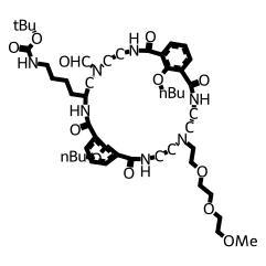 CCCCOc1c2cccc1C(=O)NCCN(CCOCCOCCOC)CCNC(=O)c1cccc(c1OCCCC)C(=O)NC(CCCCNC(=O)OC(C)(C)C)CN(C=O)CCNC2=O